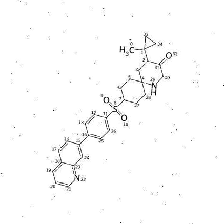 CC1(C2CC3(CCC(S(=O)(=O)c4ccc(-c5ccc6cccnc6c5)cc4)CC3)NCC2=O)CC1